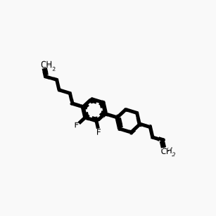 C=CCCCCc1ccc(C2=CCC(CCC=C)CC2)c(F)c1F